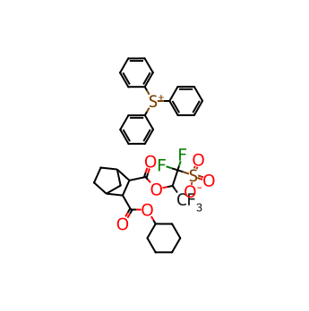 O=C(OC1CCCCC1)C1C2CCC(C2)C1C(=O)OC(C(F)(F)F)C(F)(F)S(=O)(=O)[O-].c1ccc([S+](c2ccccc2)c2ccccc2)cc1